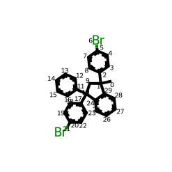 CC1(c2ccc(Br)cc2)CC(c2ccccc2)(c2ccc(Br)cc2)c2ccccc21